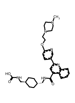 CN1CCN(CCOc2ccc(-c3cc(C(=O)NC[C@H]4CC[C@H](CNC(=O)O)CC4)c4ccccc4n3)cn2)CC1